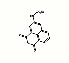 CCOC(=O)Nc1cc2c3c(cccc3c1)C(=O)OC2=O